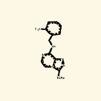 CNc1nnc2c(NCc3ccccc3C(F)(F)F)nccn12